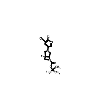 CC(C)(C)OC(=O)N1C[C@H]2CN(c3cnc(Cl)c(Cl)c3)CC21